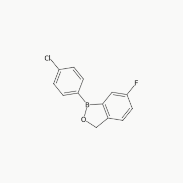 Fc1ccc2c(c1)B(c1ccc(Cl)cc1)OC2